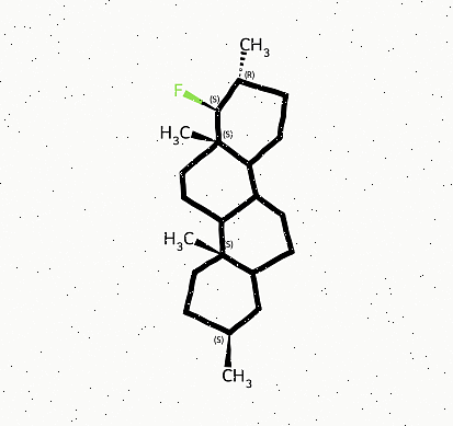 C[C@H]1CC[C@@]2(C)C(CCC3C2CC[C@@]2(C)C3CC[C@@H](C)[C@@H]2F)C1